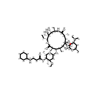 CC[C@H]1OC(=O)[C@H](C)[C@@H](O[C@H]2C[C@@](C)(OC)[C@@H](OC(=O)CCNC3CCCCC3)[C@H](C)O2)[C@H](C)[C@@H](O[C@@H]2O[C@H](C)C[C@H](N(C)C)[C@H]2O)[C@](C)(OC)C[C@@H](C)C(=O)N[C@H](C)[C@@H](O)[C@]1(C)O